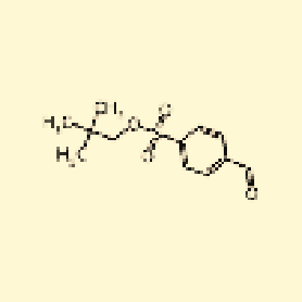 CC(C)(C)COS(=O)(=O)c1ccc(C=O)cc1